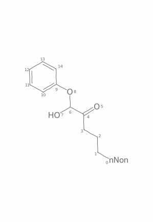 CCCCCCCCCCCCC(=O)C(O)Oc1ccccc1